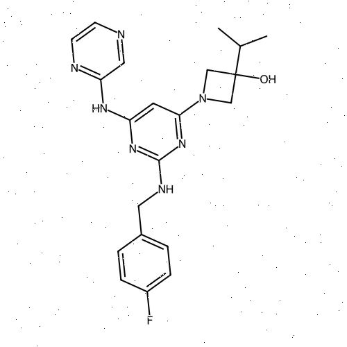 CC(C)C1(O)CN(c2cc(Nc3cnccn3)nc(NCc3ccc(F)cc3)n2)C1